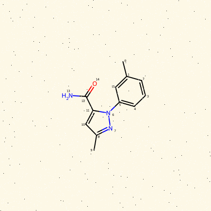 Cc1cccc(-n2nc(C)cc2C(N)=O)c1